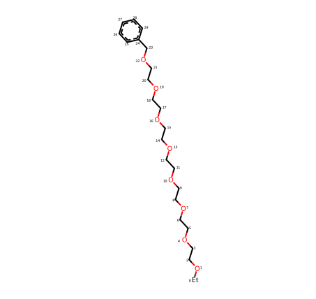 CCOCCOCCOCCOCCOCCOCCOCCOCc1ccccc1